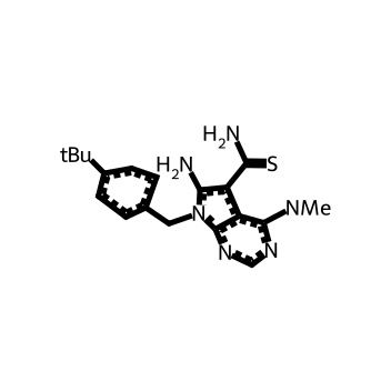 CNc1ncnc2c1c(C(N)=S)c(N)n2Cc1ccc(C(C)(C)C)cc1